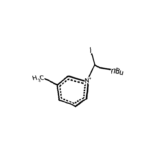 CCCCC(I)[n+]1cccc(C)c1